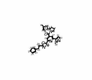 Cc1csc([C@H]2CCCN2C(=O)c2cc(-c3nnc([C@@H](C)Cc4ccccc4)o3)nc(-c3ccnn3C)c2)n1